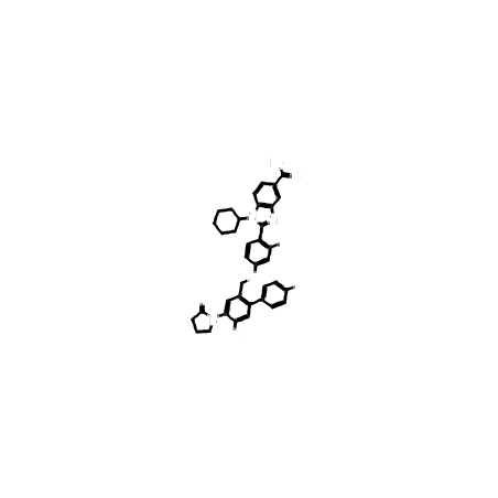 O=C(O)c1ccc2c(c1)nc(-c1ccc(OCc3cc(N4CCCC4=O)c(Cl)cc3-c3ccc(Cl)cc3)cc1F)n2C1CCCCC1